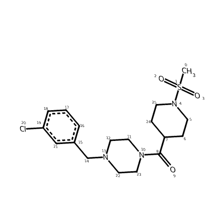 CS(=O)(=O)N1CCC(C(=O)N2CCN(Cc3cccc(Cl)c3)CC2)CC1